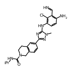 CC(C)NC(=O)N1CCc2cc(-c3nc(Nc4ccc(N)c(C=N)c4Cl)n(C)n3)ccc2C1